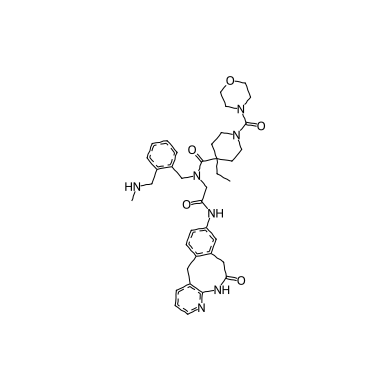 CCC1(C(=O)N(CC(=O)Nc2ccc3c(c2)CC(=O)Nc2ncccc2C3)Cc2ccccc2CNC)CCN(C(=O)N2CCOCC2)CC1